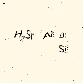 [Al].[B].[Si].[SrH2]